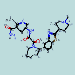 COc1ncc(NC(=O)C(=O)N2C[C@@H](C)CC[C@@H]2c2ccc3sc(C4CCN(C)C[C@@H]4C)nc3c2)cc1C(N)=O